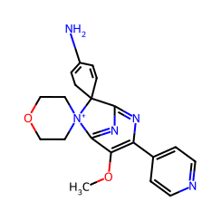 COc1c(-c2ccncc2)nc2nc1[N+]1(CCOCC1)C21C=CC(N)=CC1